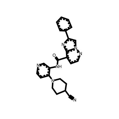 N#CC1CCN(c2ccncc2NC(=O)c2ccnn3cc(-c4ccccc4)nc23)CC1